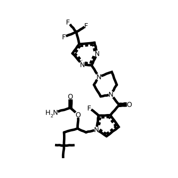 CC(C)(C)CC(Cn1ccc(C(=O)N2CCN(c3ncc(C(F)(F)F)cn3)CC2)c1F)OC(N)=O